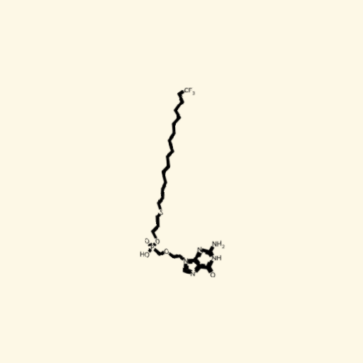 Nc1nc2c(ncn2CCOCP(=O)(O)OCCCSCCCCCCCCCCCCCCCC(F)(F)F)c(=O)[nH]1